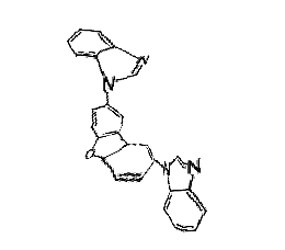 C1=CC2Oc3ccc(-n4cnc5ccccc54)cc3C2C=C1n1cnc2ccccc21